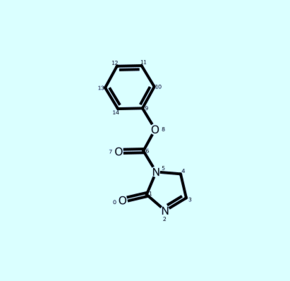 O=C1N=CCN1C(=O)Oc1ccccc1